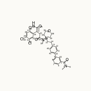 CN(C)C(=O)c1cccc(-c2ccc(CC[N+]3(N(C)C(=O)CC4C(=O)NOc5cc(Cl)c(Cl)cc54)CCOCC3)cc2)c1